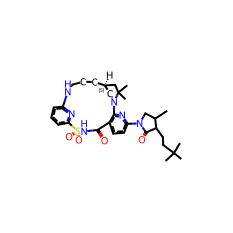 CC1CN(c2ccc3c(n2)N2C[C@@H](CCCNc4cccc(n4)S(=O)(=O)NC3=O)CC2(C)C)C(=O)C1CCC(C)(C)C